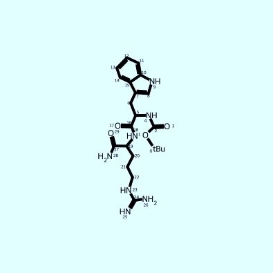 CC(C)(C)OC(=O)NC(Cc1c[nH]c2ccccc12)C(=O)NC(CCCNC(=N)N)C(N)=O